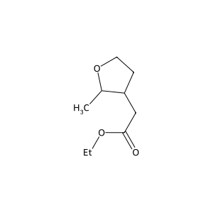 CCOC(=O)CC1CCOC1C